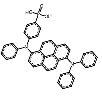 O=P(O)(O)c1ccc(N(c2ccccc2)c2ccc3ccc4c(N(c5ccccc5)c5ccccc5)ccc5ccc2c3c54)cc1